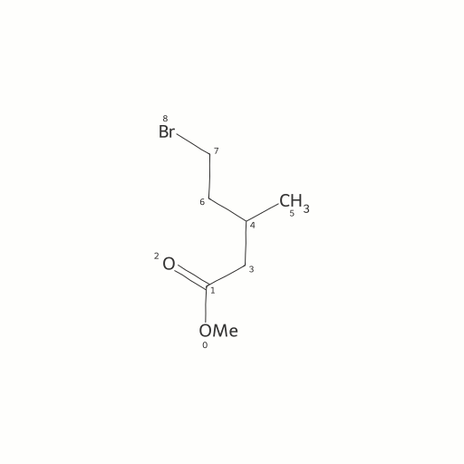 COC(=O)CC(C)CCBr